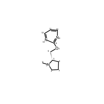 CN1CCC[C@H]1COc1ncccn1